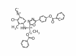 [C-]#[N+]c1ccc(N[C@@H](c2nnc(-c3ccc(OC(=O)c4ccccc4)cc3)o2)[C@H](C)OC(=O)c2ccccc2)c(C)c1Cl